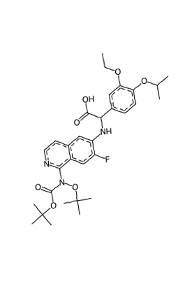 CCOc1cc(C(Nc2cc3ccnc(N(OC(C)(C)C)C(=O)OC(C)(C)C)c3cc2F)C(=O)O)ccc1OC(C)C